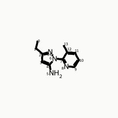 CCc1cc(N)n(-c2ncccc2C)n1